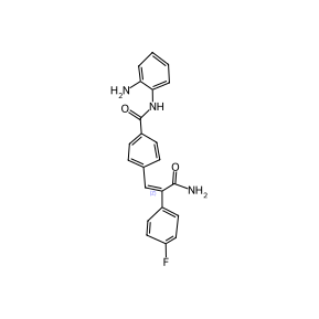 NC(=O)/C(=C\c1ccc(C(=O)Nc2ccccc2N)cc1)c1ccc(F)cc1